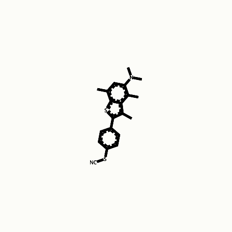 Cc1cc(N(C)C)c(C)c2c(C)c(-c3ccc(SC#N)cc3)sc12